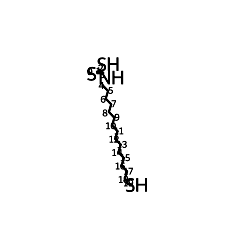 S=C(S)NCCCCCCCCCCCCCCCS